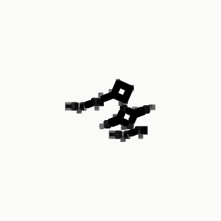 CC1CCC1.O=C(O)O.O=C(O)O.O=C1OC(=O)O1